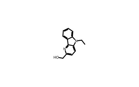 CCn1c2ccccc2c2nc(CO)ccc21